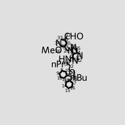 CCC[C@@H](CCO[Si](c1ccccc1)(c1ccccc1)C(C)(C)C)Nc1n[c]nc2cnn(Cc3cc(C=O)cnc3OC)c12